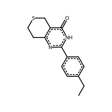 CCc1ccc(-c2nc3c(c(=O)[nH]2)CSCC3)cc1